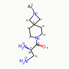 CC(=O)N1CC2(CCN(C(=O)[C@H](N)CN)CC2)C1